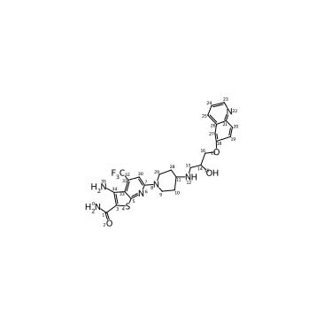 NC(=O)c1sc2nc(N3CCC(NCC(O)COc4ccc5ncccc5c4)CC3)cc(C(F)(F)F)c2c1N